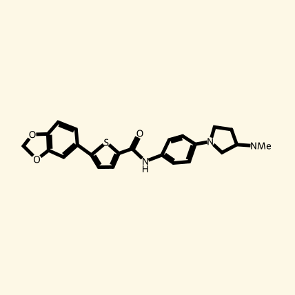 CNC1CCN(c2ccc(NC(=O)c3ccc(-c4ccc5c(c4)OCO5)s3)cc2)C1